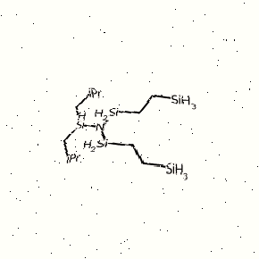 CC(C)C[SiH](CC(C)C)N([SiH2]CC[SiH3])[SiH2]CC[SiH3]